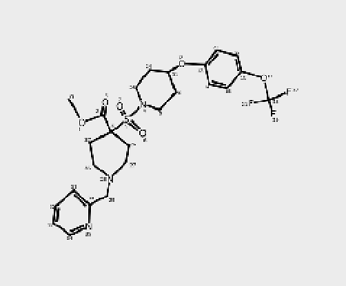 COC(=O)C1(S(=O)(=O)N2CCC(Oc3ccc(OC(F)(F)F)cc3)CC2)CCN(Cc2ccccn2)CC1